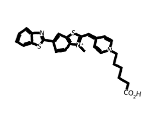 C[n+]1c(C=C2C=CN(CCCCCC(=O)O)C=C2)sc2cc(-c3nc4ccccc4s3)ccc21